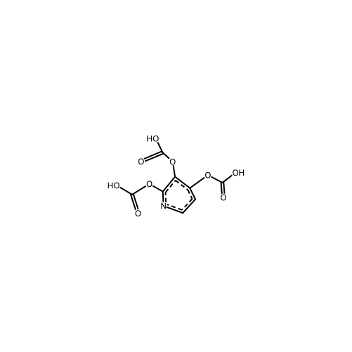 O=C(O)Oc1ccnc(OC(=O)O)c1OC(=O)O